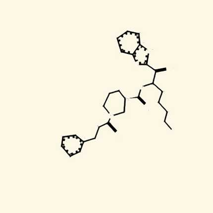 CCCCCC(NC(=O)[C@@H]1CCCN(C(=O)CCc2ccccc2)C1)C(=O)c1nc2ccccc2s1